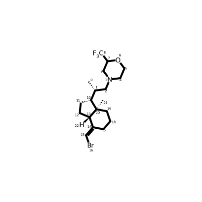 C[C@H](CN1CCOC(C(F)(F)F)C1)[C@H]1CC[C@H]2/C(=C/Br)CCC[C@]12C